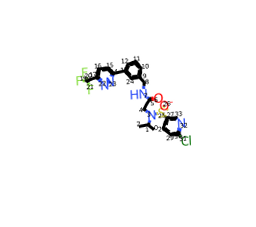 CC(C)N(CC(=O)NCc1cccc(-c2ccc(C(F)(F)F)nn2)c1)[S+]([O-])c1ccc(Cl)nc1